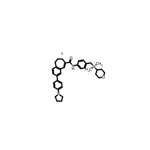 C[N+](C)(Cc1ccc(NC(=O)C2=Cc3cc(-c4ccc(N5CCCC5)cc4)ccc3CCC2)cc1)C1CCOCC1.[I-]